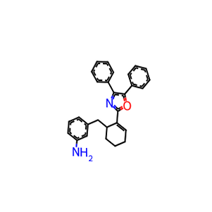 Nc1cccc(CC2CCCC=C2c2nc(-c3ccccc3)c(-c3ccccc3)o2)c1